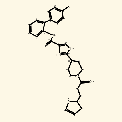 Cc1ccc(-c2ccccc2NC(=O)c2csc(C3CCN(C(=O)CCC4CC=CS4)CC3)n2)cc1